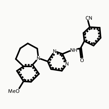 COc1ccc2c(c1)CCCCN2c1ccnc(NC(=O)c2cccc(C#N)c2)n1